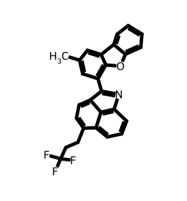 Cc1cc(C2=Nc3cccc4c(CCC(F)(F)F)ccc2c34)c2oc3ccccc3c2c1